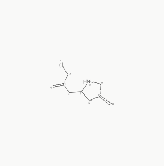 C=C(CCl)CC1CC(=C)CN1